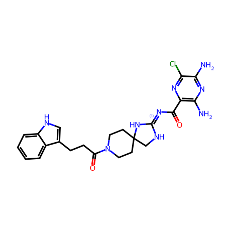 Nc1nc(N)c(C(=O)/N=C2\NCC3(CCN(C(=O)CCc4c[nH]c5ccccc45)CC3)N2)nc1Cl